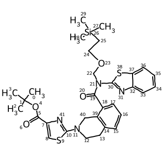 CC(C)(C)OC(=O)c1csc(N2CCc3cccc(C(=O)N(COCC[Si](C)(C)C)c4nc5ccccc5s4)c3C2)n1